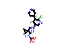 O=C(O)NCC1(CNc2cnc(Cl)c(-c3ccncc3)c2)CC1